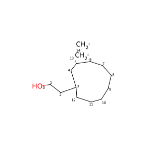 OCC[C]1CCCCCCCCC1.[CH2].[CH2]